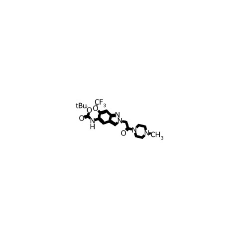 CN1CCN(C(=O)Cn2cc3cc(NC(=O)OC(C)(C)C)c(OC(F)(F)F)cc3n2)CC1